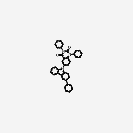 O=c1c2cc(-n3c4ccccc4c4cc(-c5ccccc5)ccc43)ccc2n(-c2ccccc2)c(=O)n1-c1ccccc1